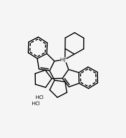 C1=C(C2CCCC2)[CH]([Hf]2([CH]3C(C4CCCC4)=Cc4ccccc43)[CH]3CCCC[CH]32)c2ccccc21.Cl.Cl